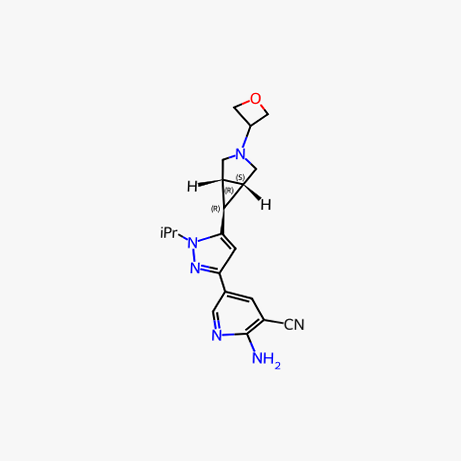 CC(C)n1nc(-c2cnc(N)c(C#N)c2)cc1[C@H]1[C@@H]2CN(C3COC3)C[C@@H]21